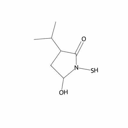 CC(C)C1CC(O)N(S)C1=O